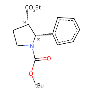 CCOC(=O)[C@H]1CCN(C(=O)OC(C)(C)C)[C@H]1c1ccccc1